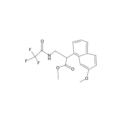 COC(=O)C(CNC(=O)C(F)(F)F)c1cccc2ccc(OC)cc12